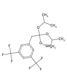 CC(C)OC(Cc1cc(C(F)(F)F)cc(C(F)(F)F)c1)(O[SiH3])OC(C)C